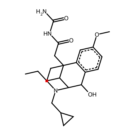 CCCC1C2C(O)c3ccc(OC)cc3C1(CC(=O)NC(N)=O)CCN2CC1CC1